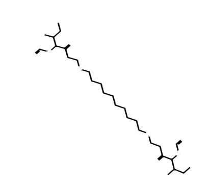 CCC(C)C(NC=O)C(=O)CCSCCCCCCCCCCSCCC(=O)C(NC=O)C(C)CC